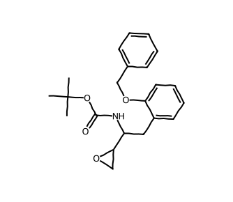 CC(C)(C)OC(=O)NC(Cc1ccccc1OCc1ccccc1)C1CO1